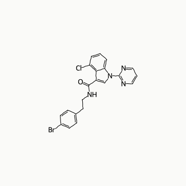 O=C(NCCc1ccc(Br)cc1)c1cn(-c2ncccn2)c2cccc(Cl)c12